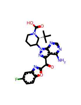 CC(C)(C)[C@@H]1C(n2nc(C(=O)c3nc4cc(F)ccc4o3)c3c(N)ncnc32)CCCN1C(=O)O